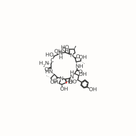 C[C@@H](O)[C@@H]1NC(=O)[C@H]([C@H](O)[C@@H](O)c2ccc(O)cc2)NC(=O)[C@@H]2C[C@@H](O)CN2C(=O)[C@H]([C@@H](C)O)NC(=O)[C@H](N)C[C@@H](O)[C@@H](O)NC(=O)[C@@H]2[C@@H](O)[C@@H](C)CN2C1=O